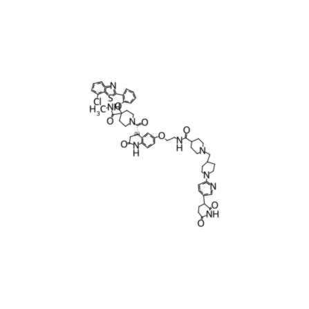 CNC(=O)C1(Oc2ccccc2-c2nc3cccc(Cl)c3s2)CCN(C(=O)[C@H]2CC(=O)Nc3ccc(OCCNC(=O)C4CCN(CC5CCN(c6ccc(C7CCC(=O)NC7=O)cn6)CC5)CC4)cc32)CC1